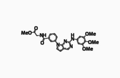 COC(=O)CNC(=O)c1cccc(-n2ccc3cnc(Nc4cc(OC)c(OC)c(OC)c4)nc32)c1